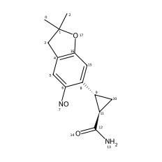 CC1(C)Cc2cc(N=O)c([C@@H]3C[C@H]3C(N)=O)cc2O1